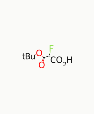 CC(C)(C)OC(=O)[C@H](F)C(=O)O